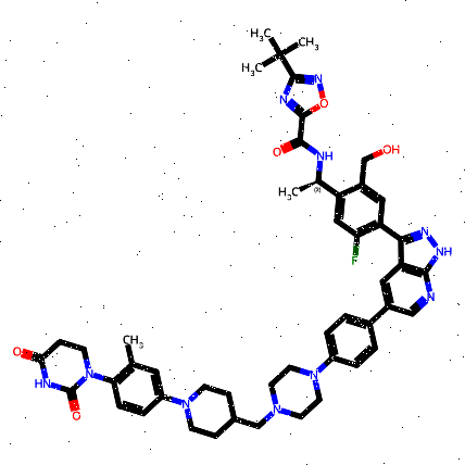 Cc1cc(N2CCC(CN3CCN(c4ccc(-c5cnc6[nH]nc(-c7cc(CO)c([C@@H](C)NC(=O)c8nc(C(C)(C)C)no8)cc7F)c6c5)cc4)CC3)CC2)ccc1N1CCC(=O)NC1=O